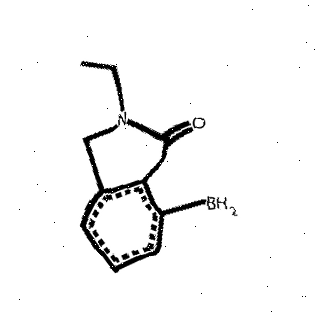 Bc1cccc2c1C(=O)N(CC)C2